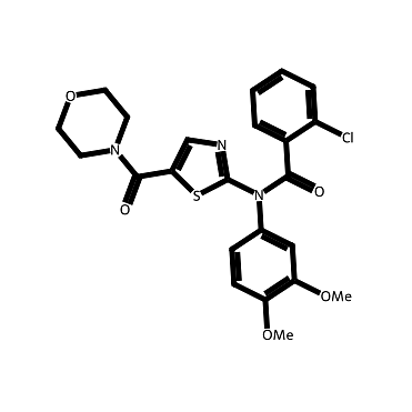 COc1ccc(N(C(=O)c2ccccc2Cl)c2ncc(C(=O)N3CCOCC3)s2)cc1OC